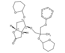 CC(COc1ccccc1)(CO[C@H]1[C@@H]2CC(=O)O[C@@H]2C[C@@H]1OC1CCCCO1)OC1CCCCO1